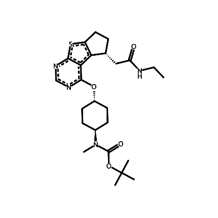 CCNC(=O)C[C@H]1CCc2sc3ncnc(O[C@H]4CC[C@H](N(C)C(=O)OC(C)(C)C)CC4)c3c21